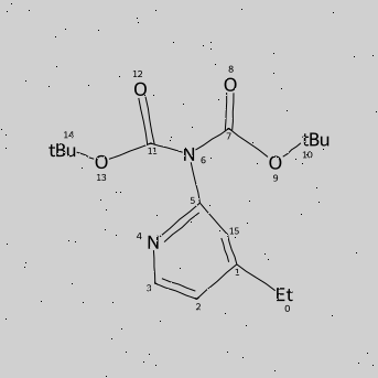 CCc1ccnc(N(C(=O)OC(C)(C)C)C(=O)OC(C)(C)C)c1